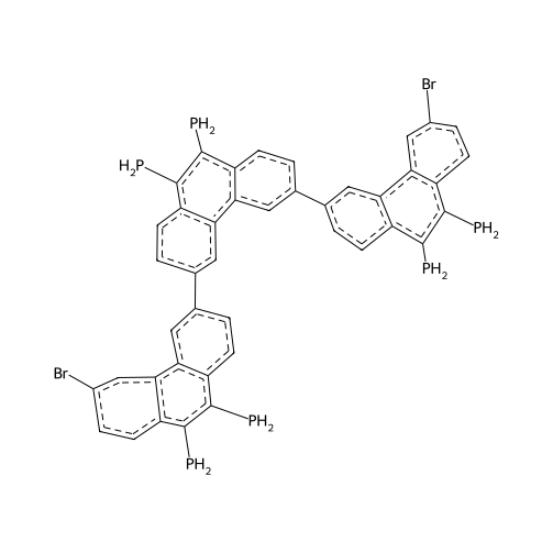 Pc1c(P)c2ccc(-c3ccc4c(P)c(P)c5ccc(-c6ccc7c(P)c(P)c8ccc(Br)cc8c7c6)cc5c4c3)cc2c2cc(Br)ccc12